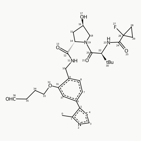 Cc1ncsc1-c1ccc(CNC(=O)[C@@H]2C[C@@H](O)CN2C(=O)[C@@H](NC(=O)C2(F)CC2)C(C)(C)C)c(OCCCC=O)c1